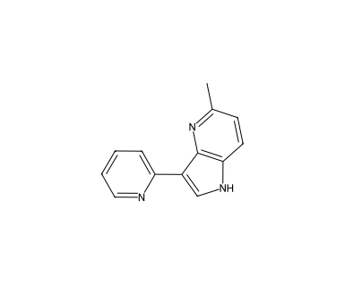 Cc1ccc2[nH]cc(-c3ccccn3)c2n1